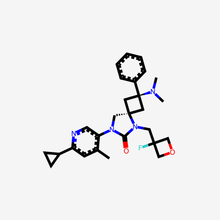 Cc1cc(C2CC2)ncc1N1C[C@]2(C[C@](c3ccccc3)(N(C)C)C2)N(CC2(F)COC2)C1=O